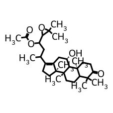 CC(=O)OC(CC(C)C1=C2C[C@H](O)C3[C@@]4(C)CCC(=O)C(C)(C)C4CC[C@]3(C)[C@@]2(C)CC1)C1OC1(C)C